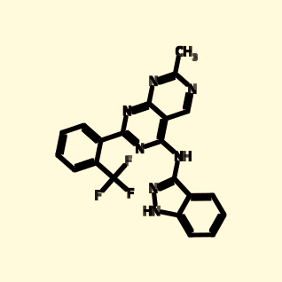 Cc1ncc2c(Nc3n[nH]c4ccccc34)nc(-c3ccccc3C(F)(F)F)nc2n1